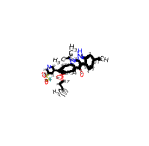 C#Cc1ccc2c(c1)[nH]c1c2c(=O)c2cc(OCCCC)c(-c3cncc(S(=O)(=O)F)c3)cc2n1C(C)C